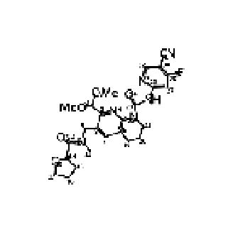 COC(OC)c1nc2c(cc1CN(C)C(=O)[C@H]1CCCO1)CCCN2C(=O)Nc1cc(F)c(C#N)cn1